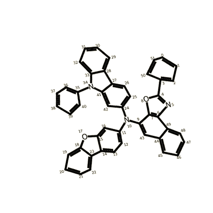 c1ccc(-c2nc3c(o2)c(N(c2ccc4c(c2)oc2ccccc24)c2ccc4c5ccccc5n(-c5ccccc5)c4c2)cc2ccccc23)cc1